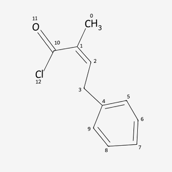 CC(=CCc1ccccc1)C(=O)Cl